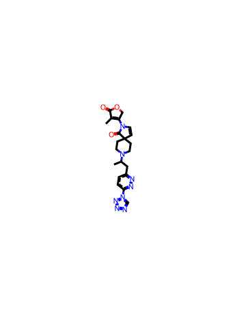 CC1=C(N2C=CC3(CCN(C(C)Cc4ccc(-n5cnnn5)nn4)CC3)C2=O)COC1=O